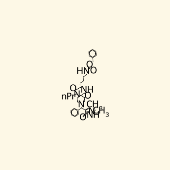 CCCN1C(=O)[C@H](CCCCNC(=O)OCc2ccccc2)NC(=O)C12CCN(C(c1ccccc1)c1c(C)n(C)[nH]c1=O)CC2